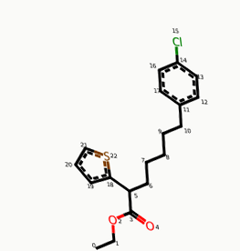 CCOC(=O)C(CCCCCc1ccc(Cl)cc1)c1cccs1